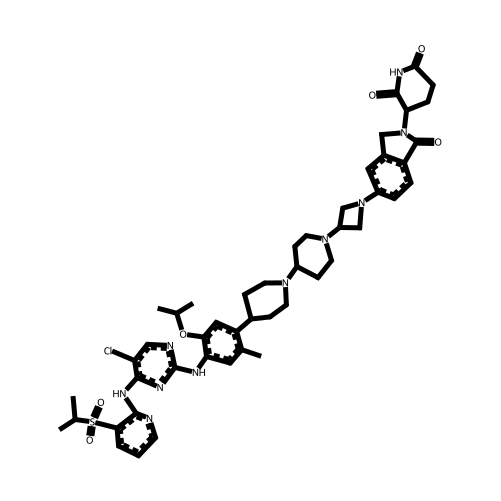 Cc1cc(Nc2ncc(Cl)c(Nc3ncccc3S(=O)(=O)C(C)C)n2)c(OC(C)C)cc1C1CCN(C2CCN(C3CN(c4ccc5c(c4)CN(C4CCC(=O)NC4=O)C5=O)C3)CC2)CC1